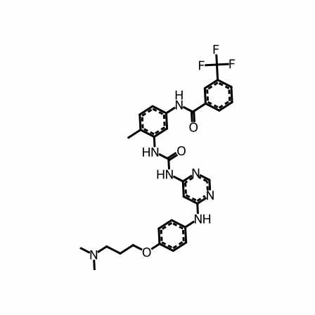 Cc1ccc(NC(=O)c2cccc(C(F)(F)F)c2)cc1NC(=O)Nc1cc(Nc2ccc(OCCCN(C)C)cc2)ncn1